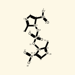 Cc1ncc([N+](=O)[O-])n1OS(=O)(=O)On1c([N+](=O)[O-])cnc1C